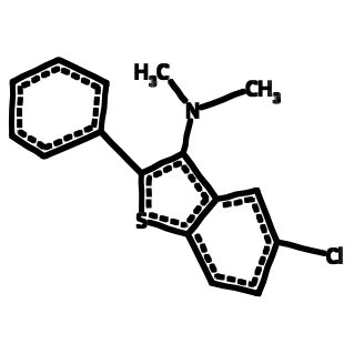 CN(C)c1c(-c2ccccc2)sc2ccc(Cl)cc12